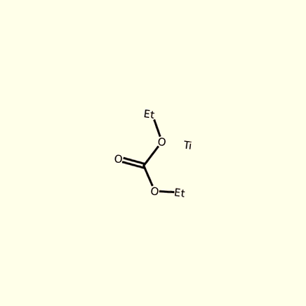 CCOC(=O)OCC.[Ti]